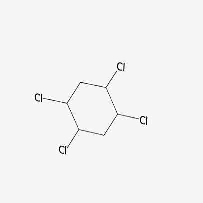 ClC1CC(Cl)C(Cl)CC1Cl